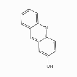 Oc1ccc2nc3ccccc3cc2c1